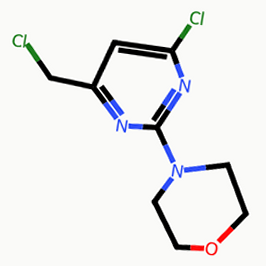 ClCc1cc(Cl)nc(N2CCOCC2)n1